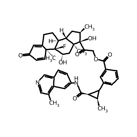 Cc1cncc2ccc(NC(=O)[C@H]3C(c4cccc(C(=O)OCC(=O)[C@@]5(O)[C@H](C)C[C@H]6[C@@H]7CCC8=CC(=O)C=C[C@]8(C)[C@@]7(F)[C@@H](O)C[C@@]65C)c4)[C@H]3C)cc12